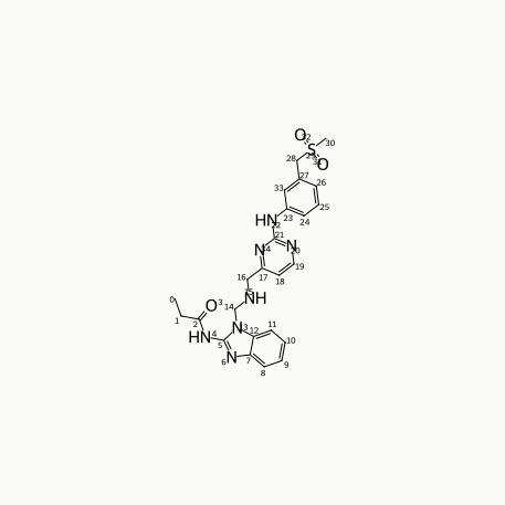 CCC(=O)Nc1nc2ccccc2n1CNCc1ccnc(Nc2cccc(CS(C)(=O)=O)c2)n1